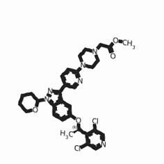 COC(=O)CN1CCN(c2ccc(-c3nn(C4CCCCO4)c4ccc(O[C@H](C)c5c(Cl)cncc5Cl)cc34)cn2)CC1